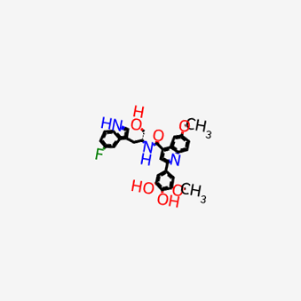 COc1ccc2nc(-c3cc(O)c(O)c(OC)c3)cc(C(=O)N[C@@H](CO)Cc3c[nH]c4ccc(F)cc34)c2c1